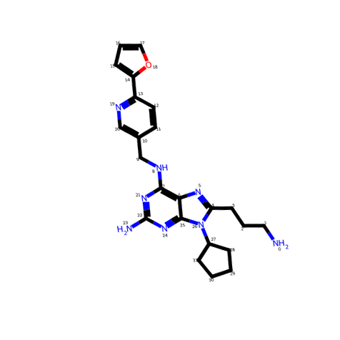 NCCCc1nc2c(NCc3ccc(-c4ccco4)nc3)nc(N)nc2n1C1CCCC1